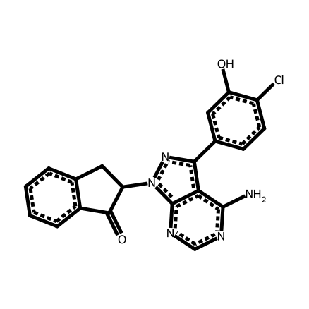 Nc1ncnc2c1c(-c1ccc(Cl)c(O)c1)nn2C1Cc2ccccc2C1=O